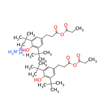 CCC(=O)OC(=O)CCc1cc(C(C)(C)C)c(O)c(C(C)(C)C)c1.CCC(=O)OC(=O)CCc1cc(C(C)(C)C)c(O)c(C(C)(C)C)c1.NN